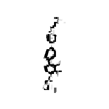 CCC[Si@H]1CC[C@H](c2ccc(-c3ccc(OCC)c(F)c3F)cc2)CC1